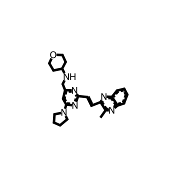 Cc1nc2ccccc2nc1C=Cc1nc(CNC2CCOCC2)cc(N2CCCC2)n1